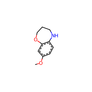 COc1ccc2c(c1)OCCCN2